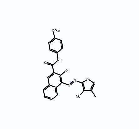 COc1ccc(NC(=O)c2cc3ccccc3c(/N=N/c3snc(C)c3C#N)c2O)cc1